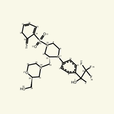 CC(O)(c1ccc(N2CCN(S(=O)(=O)C3=CC=CCC3=S)C[C@H]2CN2CCO[C@H](CO)C2)cc1)C(F)(F)F